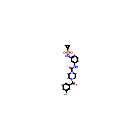 O=C(Nc1cccc(NS(=O)(=O)C2CC2)c1)N1CCN(C(=O)c2cccc(F)c2)CC1